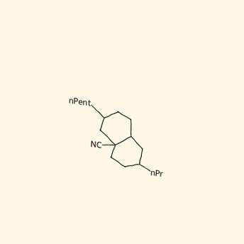 CCCCCC1CCC2CC(CCC)CCC2(C#N)C1